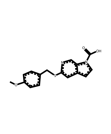 COc1ccc(CSc2cc3ccn(C(=O)O)c3cn2)cc1